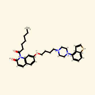 CCCCCCC(=O)n1c(=O)ccc2ccc(OCCCCN3CCN(c4cccc5sccc45)CC3)cc21